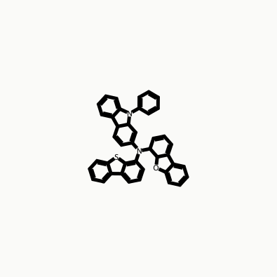 C1=CC(N(C2=CC3C(C=C2)c2ccccc2N3c2ccccc2)c2cccc3c2sc2ccccc23)C2Oc3ccccc3C2=C1